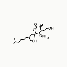 CC(C)CCCCC(CO)CC(C)C(OC=O)C(ON)C(CCO)N=O